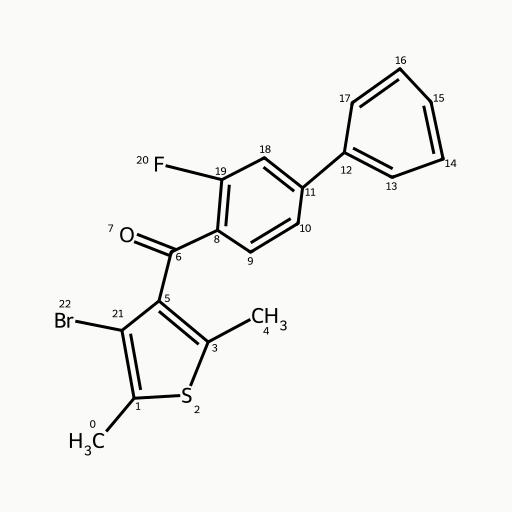 Cc1sc(C)c(C(=O)c2ccc(-c3ccccc3)cc2F)c1Br